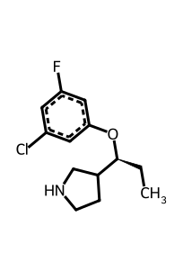 CC[C@H](Oc1cc(F)cc(Cl)c1)C1CCNC1